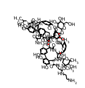 CN[C@H](CC(C)O)C(=O)N[C@H]1C(=O)N[C@@H](CC(N)=O)C(=O)N[C@H]2C(=O)N[C@H]3C(=O)N[C@H](C(=O)N[C@H](C(=O)OCC(=O)NCCN)c4cc(O)cc(O)c4-c4cc3ccc4O)[C@H](O[C@H]3C[C@](C)(N)[C@@H](O)[C@H](C)O3)c3ccc(c(Cl)c3)Oc3cc2cc(c3O[C@@H]2O[C@H](CO)[C@@H](O)[C@H](O)[C@H]2O[C@H]2C[C@](C)(NCc3ccc(-c4ccc(Cl)cc4)cc3)[C@@H](O)[C@H](C)O2)Oc2ccc(cc2Cl)[C@H]1O